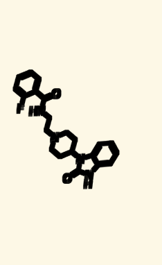 O=C(NCCN1CCC(n2c(=O)[nH]c3ccccc32)CC1)c1ccccc1F